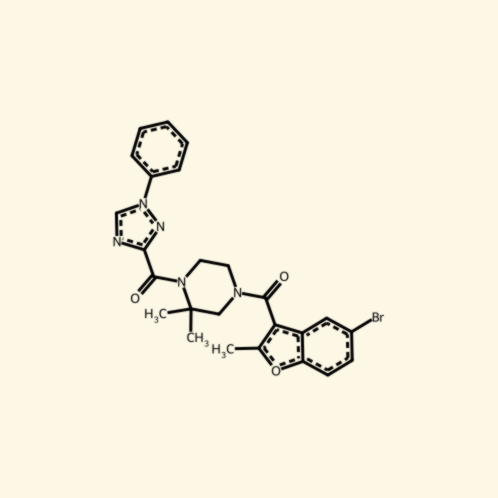 Cc1oc2ccc(Br)cc2c1C(=O)N1CCN(C(=O)c2ncn(-c3ccccc3)n2)C(C)(C)C1